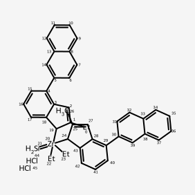 CCC1=Cc2c(-c3ccc4ccccc4c3)cccc2[CH]1[Zr](=[SiH2])([CH2]C)([CH2]C)[CH]1C(C)=Cc2c(-c3ccc4ccccc4c3)cccc21.Cl.Cl